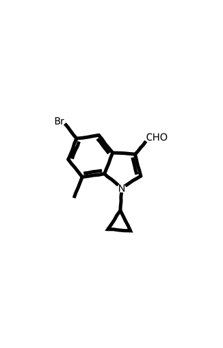 Cc1cc(Br)cc2c(C=O)cn(C3CC3)c12